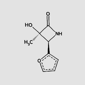 C[C@]1(O)C(=O)N[C@H]1c1ccco1